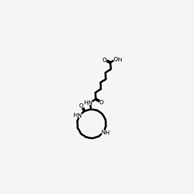 O=C(O)CCCCCCC(=O)NC1CCCCNCCCCCCNC1=O